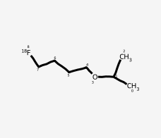 CC(C)OCCCC[18F]